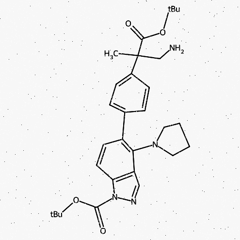 CC(C)(C)OC(=O)n1ncc2c(N3CCCC3)c(-c3ccc(C(C)(CN)C(=O)OC(C)(C)C)cc3)ccc21